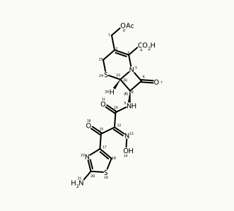 CC(=O)OCC1=C(C(=O)O)N2C(=O)[C@@H](NC(=O)C(=NO)C(=O)c3csc(N)n3)[C@@H]2SC1